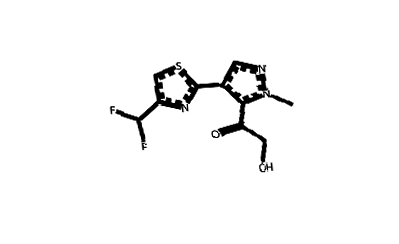 Cn1ncc(-c2nc(C(F)F)cs2)c1C(=O)CO